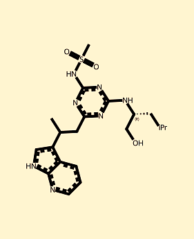 CC(C)C[C@H](CO)Nc1nc(CC(C)c2c[nH]c3ncccc23)nc(NS(C)(=O)=O)n1